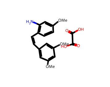 COc1cc(/C=C\c2ccc(OC)cc2N)cc(OC)c1.O=C(O)C(=O)O